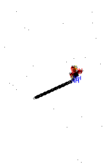 CC#CC#CC#CC#CC#CC#CC#CC#CC#CC#CNC(=S)N[C@H]1C[C@H](COC)C(OP(O)(=S)OC)[C@@H]1OC